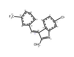 O=CC1=Nc2cc(Cl)ccc2/C1=C\c1cccc(C(F)(F)F)c1